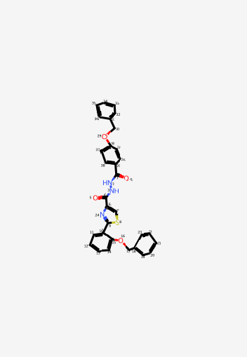 O=C(NNC(=O)c1csc(-c2ccccc2OCc2ccccc2)n1)c1ccc(OCc2ccccc2)cc1